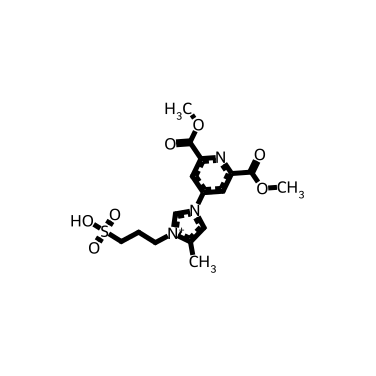 COC(=O)c1cc(-n2cc(C)[n+](CCCS(=O)(=O)O)c2)cc(C(=O)OC)n1